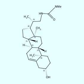 CNC(=O)NC[C@@H](C)[C@H]1CC[C@H]2[C@@H]3CC=C4C[C@@H](O)CC[C@]4(C)[C@H]3CC[C@]12C